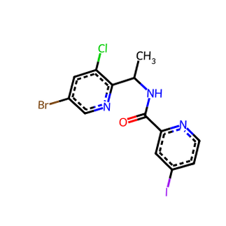 CC(NC(=O)c1cc(I)ccn1)c1ncc(Br)cc1Cl